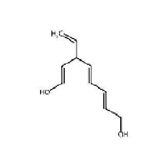 C=CC(C=CO)C=CC=CCO